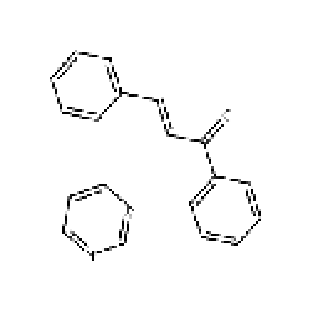 O=C(C=Cc1ccccc1)c1ccccc1.c1cncnc1